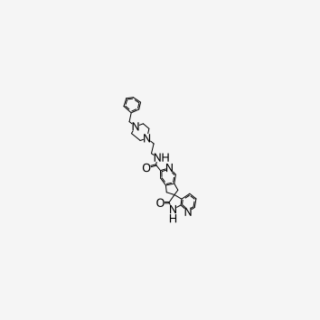 O=C(NCCN1CCN(Cc2ccccc2)CC1)c1cc2c(cn1)CC1(C2)C(=O)Nc2ncccc21